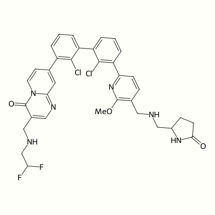 COc1nc(-c2cccc(-c3cccc(-c4ccn5c(=O)c(CNCC(F)F)cnc5c4)c3Cl)c2Cl)ccc1CNCC1CCC(=O)N1